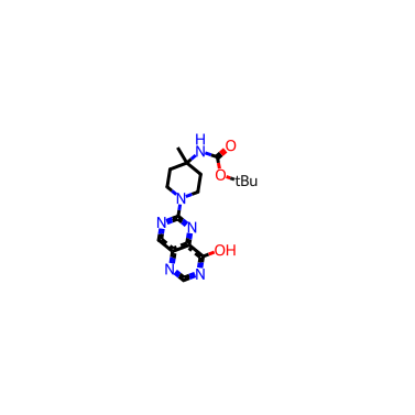 CC1(NC(=O)OC(C)(C)C)CCN(c2ncc3ncnc(O)c3n2)CC1